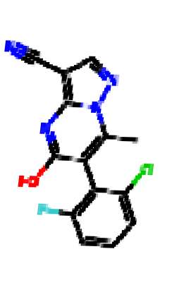 Cc1c(-c2c(F)cccc2Cl)c(O)nc2c(C#N)cnn12